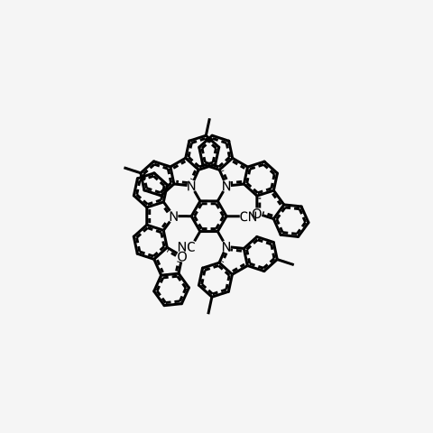 Cc1ccc2c(c1)c1cc(C)ccc1n2-c1c(C#N)c(-n2c3ccccc3c3ccc4c5ccccc5oc4c32)c(-n2c3ccc(C)cc3c3cc(C)ccc32)c(-n2c3ccccc3c3ccc4c5ccccc5oc4c32)c1C#N